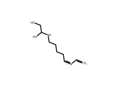 C=C/N=C\CCCCNC(O)CO